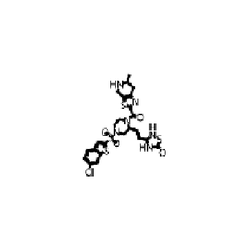 CC1Cc2nc(C(=O)N3CCN(S(=O)(=O)c4cc5ccc(Cl)cc5s4)CC3CCC3NSC(=O)N3)sc2CN1